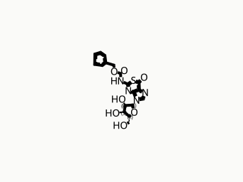 O=C(Nc1nc2c(ncn2[C@@H]2O[C@H](CO)[C@@H](O)[C@H]2O)c(=O)s1)OCc1ccccc1